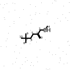 C=C(CBC)CCC(C)(C)C